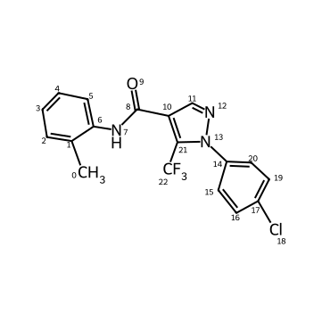 Cc1ccccc1NC(=O)c1cnn(-c2ccc(Cl)cc2)c1C(F)(F)F